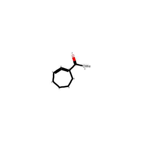 COC(=O)C1=C=CCCCC1